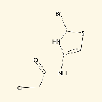 O=C(CCl)NC1=CSC(Br)N1